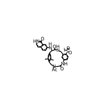 CC(=O)N1CC(=O)Nc2ccc(S(=O)(=O)I)c(c2)CNC(=O)C(Nc2ccc3cc[nH]c(=O)c3c2)c2cc(C)c(c(C)c2)C1